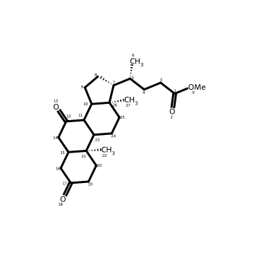 COC(=O)CC[C@@H](C)[C@H]1CCC2C3C(=O)CC4CC(=O)CC[C@]4(C)C3CC[C@@]21C